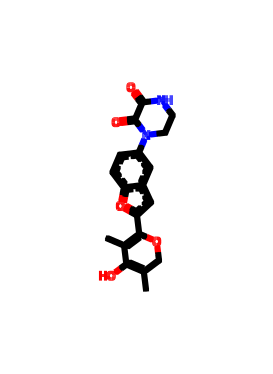 CC1=C(O)C(C)=C(c2cc3cc(N4CCNC(=O)C4=O)ccc3o2)OC1